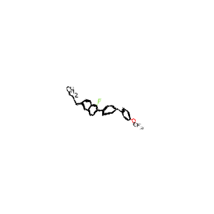 C=CCCc1ccc2c(F)c(-c3ccc(-c4ccc(OC(F)(F)F)cc4)cc3)ccc2c1